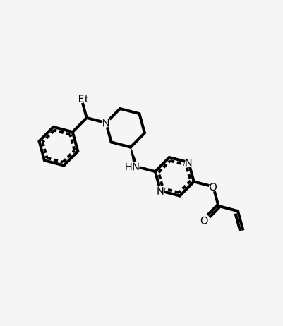 C=CC(=O)Oc1cnc(N[C@@H]2CCCN(C(CC)c3ccccc3)C2)cn1